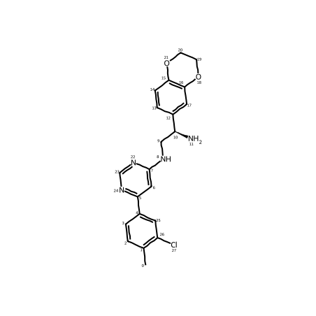 Cc1ccc(-c2cc(NC[C@H](N)c3ccc4c(c3)OCCO4)ncn2)cc1Cl